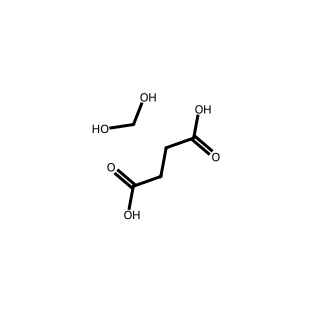 O=C(O)CCC(=O)O.OCO